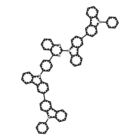 c1ccc(-n2c3ccccc3c3cc(-c4ccc5c(c4)c4ccccc4n5-c4ccc(-c5nc(-n6c7ccccc7c7cc(-c8ccc9c(c8)c8ccccc8n9-c8ccccc8)ccc76)nc6ccccc56)cc4)ccc32)cc1